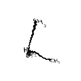 CCCCCCCCCCCCCCCCCCNC(CC)(CCCCCCCCCCCCCC)C(N)=O